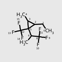 CCC1C(C)C1(C(C)C(F)(F)F)C(F)(F)F